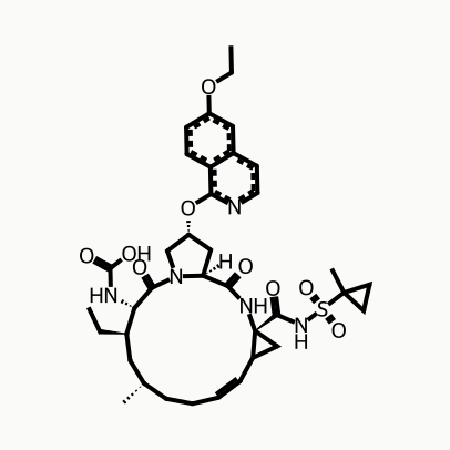 CCOc1ccc2c(O[C@@H]3C[C@H]4C(=O)N[C@]5(C(=O)NS(=O)(=O)C6(C)CC6)CC5/C=C\CC[C@H](C)C[C@@H](CC)[C@H](NC(=O)O)C(=O)N4C3)nccc2c1